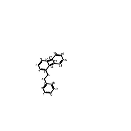 c1ccc(CCc2cccc3c2=c2ccccc2=3)cc1